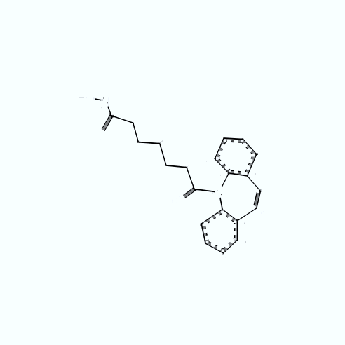 O=C(CCCCCC(=O)N1c2ccccc2C=Cc2ccccc21)NO